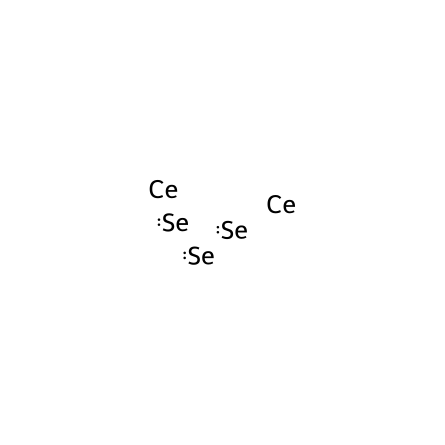 [Ce].[Ce].[Se].[Se].[Se]